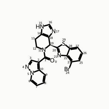 O=C(c1cnn2ccccc12)N1CCc2[nH]cnc2[C@H]1c1nc2c(Br)cccc2s1